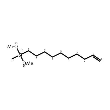 C=CCCCCCCCC[Si](C)(OC)OC